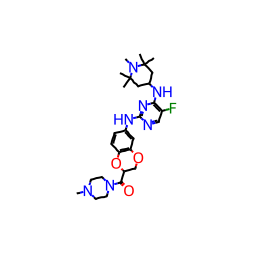 CN1CCN(C(=O)C2COc3cc(Nc4ncc(F)c(NC5CC(C)(C)N(C)C(C)(C)C5)n4)ccc3O2)CC1